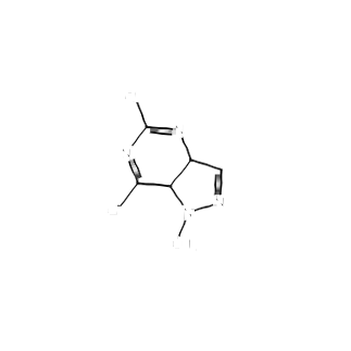 CN1N=CC2N=C(Cl)N=C(Cl)C21